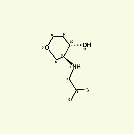 CC(C)CN[C@H]1COCC[C@@H]1O